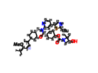 C=C(/C=C\C(OC)=C(C)C)[C@H]1CC[C@H](CN(c2cc(-c3cnc(C(C)(C)C)s3)ccn2)C(=O)[C@H]2CC[C@H](OC(=O)N3CC(O)C3(C)C)CC2)CC1